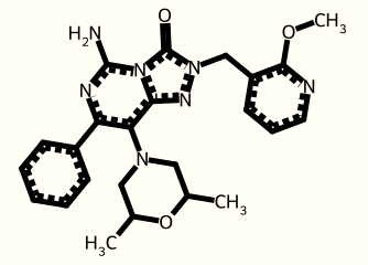 COc1ncccc1Cn1nc2c(N3CC(C)OC(C)C3)c(-c3ccccc3)nc(N)n2c1=O